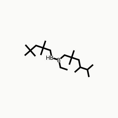 CCB(BCC(C)(C)CC(C)(C)C)CC(C)(C)CC(C)C(C)C